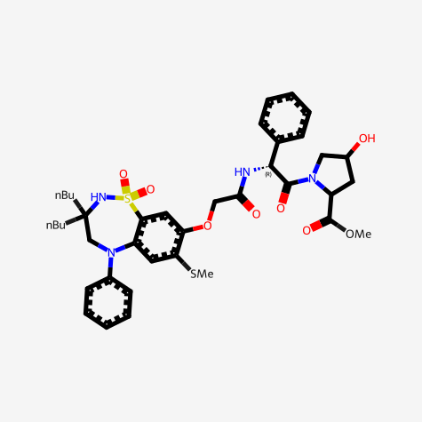 CCCCC1(CCCC)CN(c2ccccc2)c2cc(SC)c(OCC(=O)N[C@@H](C(=O)N3CC(O)CC3C(=O)OC)c3ccccc3)cc2S(=O)(=O)N1